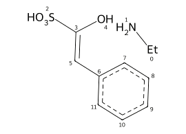 CCN.O=S(=O)(O)C(O)=Cc1ccccc1